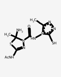 CC(=O)NC1=NN(C(=O)Nn2c(C)nnc2S)C(C)(N)S1